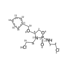 O=P1(NCCCl)OCC(OCc2ccccc2)N1CCCl